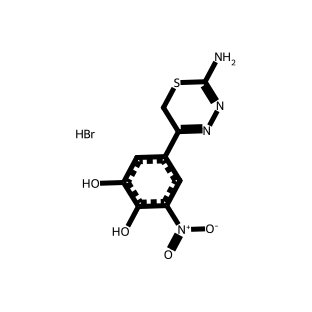 Br.NC1=NN=C(c2cc(O)c(O)c([N+](=O)[O-])c2)CS1